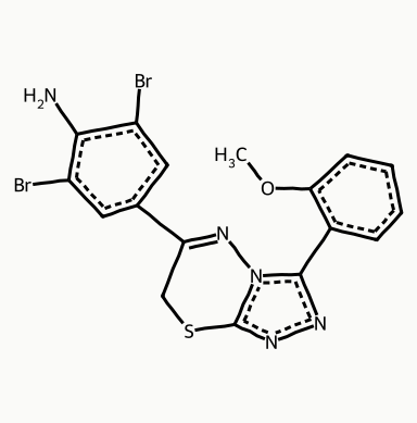 COc1ccccc1-c1nnc2n1N=C(c1cc(Br)c(N)c(Br)c1)CS2